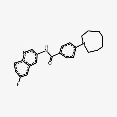 O=C(Nc1cnc2ccc(F)cc2c1)c1ccc(N2CCCCCCC2)cc1